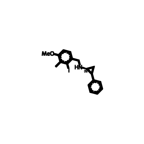 COc1ccc(CN[C@H]2CC2c2ccccc2)c(I)c1C